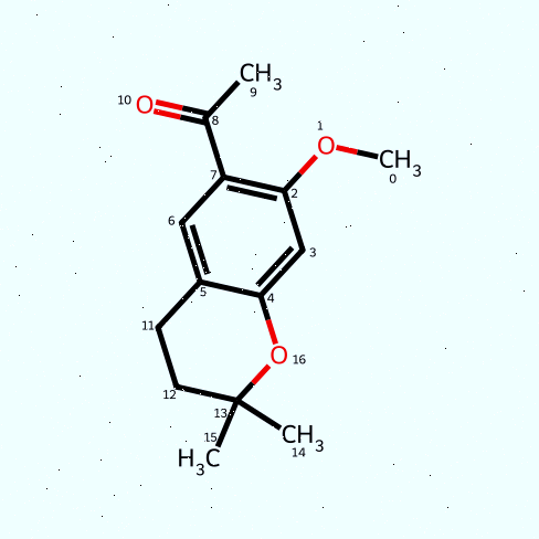 COc1cc2c(cc1C(C)=O)CCC(C)(C)O2